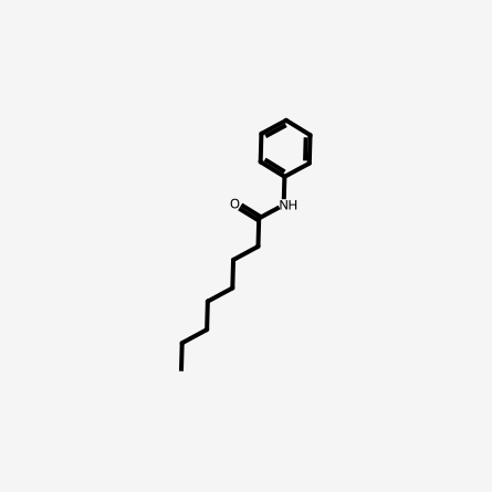 CCCCCCCC(=O)Nc1ccccc1